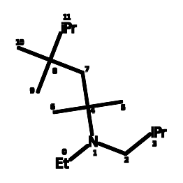 CCN(CC(C)C)C(C)(C)CC(C)(C)C(C)C